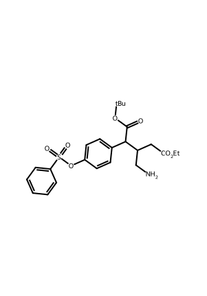 CCOC(=O)CC(CN)C(C(=O)OC(C)(C)C)c1ccc(OS(=O)(=O)c2ccccc2)cc1